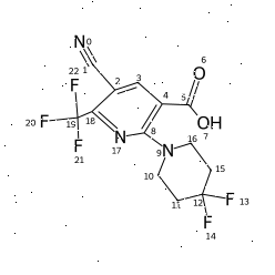 N#Cc1cc(C(=O)O)c(N2CCC(F)(F)CC2)nc1C(F)(F)F